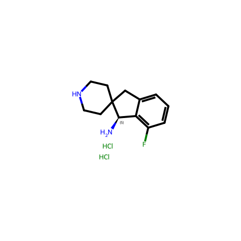 Cl.Cl.N[C@@H]1c2c(F)cccc2CC12CCNCC2